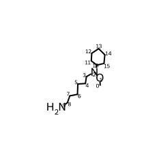 CON(CCCCCCN)C1CCCCC1